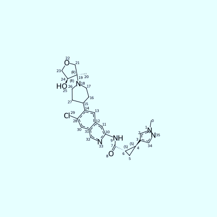 Cn1cc([C@H]2C[C@@H]2C(=O)Nc2cc3cc(C4CCN([C@]5(C)COC[C@@H]5O)CC4)c(Cl)cc3cn2)cn1